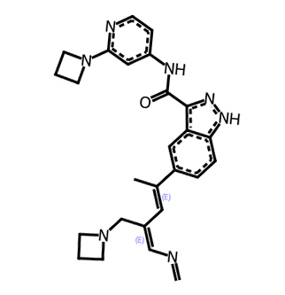 C=N/C=C(\C=C(/C)c1ccc2[nH]nc(C(=O)Nc3ccnc(N4CCC4)c3)c2c1)CN1CCC1